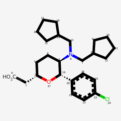 O=C(O)C[C@@H]1CC[C@@H](N(CC2CCCC2)CC2CCCC2)[C@H](c2ccc(Cl)cc2)O1